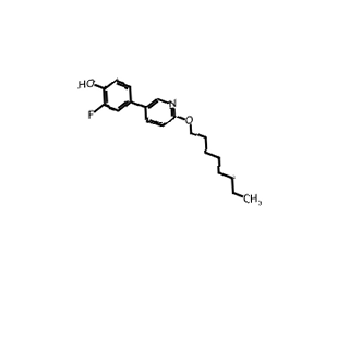 CCCCCCCCOc1ccc(-c2ccc(O)c(F)c2)cn1